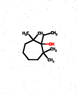 CCC1(O)C(C)(C)CCCCC1(C)C